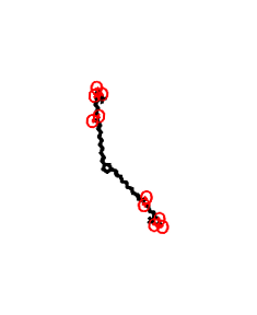 CC1(C)OC(=O)O/C1=C/CCOC(=O)C=CCCCCCC/C=C/C1CCC(C=CCCCCCC/C=C/C(=O)OCC/C=C2/OC(=O)OC2(C)C)C1